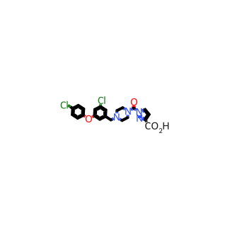 O=C(O)c1ccn(C(=O)N2CCN(Cc3cc(Cl)cc(Oc4ccc(Cl)cc4)c3)CC2)n1